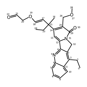 CCc1c2c(nc3ccccc13)-c1cc(C(C)(C=COCC=O)CC)c(COC)c(=O)n1C2